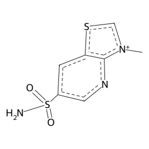 C[n+]1csc2cc(S(N)(=O)=O)cnc21